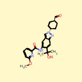 COc1cccc(C(=O)Nc2cc3cn([C@H]4CC[C@H](C=O)CC4)nc3cc2C(C)(C)O)n1